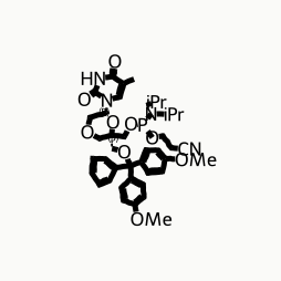 COc1ccc(C(OC[C@]2(COP(OCCC#N)N(C(C)C)C(C)C)COC[C@H](n3cc(C)c(=O)[nH]c3=O)O2)(c2ccccc2)c2ccc(OC)cc2)cc1